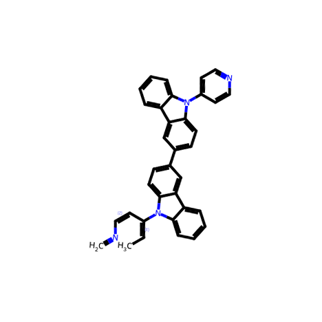 C=N/C=C\C(=C/C)n1c2ccccc2c2cc(-c3ccc4c(c3)c3ccccc3n4-c3ccncc3)ccc21